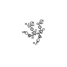 CC(C#N)NC(=O)c1ccc(-c2nc(Nc3cnn(C4CCNCC4)c3)ncc2Cl)cc1.CN1CCC(n2cc(Nc3ncc(Cl)c(-c4ccc(C(=O)NCC#N)cc4)n3)cn2)CC1